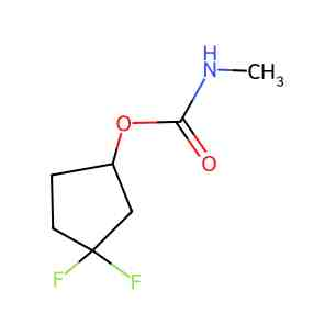 CNC(=O)OC1CCC(F)(F)C1